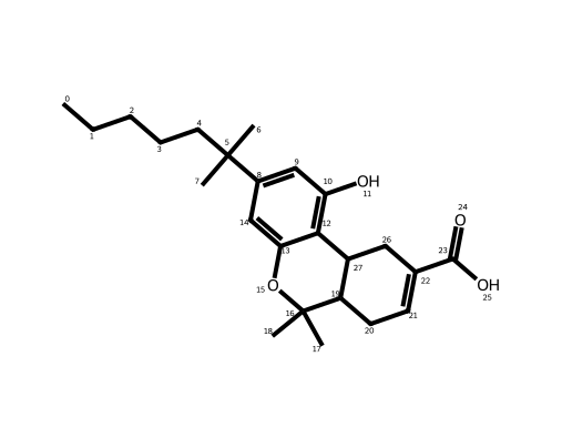 CCCCCC(C)(C)c1cc(O)c2c(c1)OC(C)(C)C1CC=C(C(=O)O)CC21